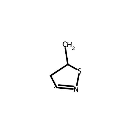 CC1C[C]=NS1